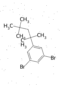 CC(C)(C)CC(C)(C)c1cc(Br)[c]c(Br)c1